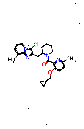 Cc1ccc(OCC2CC2)c(C(=O)N2CCCCC2Cc2nc3c(C)cccn3c2Cl)n1